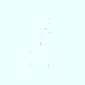 COc1cc(C2(O)CCN(C(=O)CC(C)(C)NC(=O)c3ccccc3)CC2(C)C)ccc1Cl